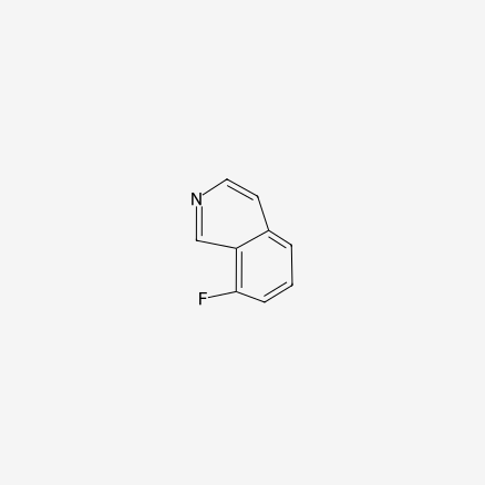 Fc1cccc2ccncc12